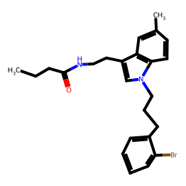 CCCC(=O)NCCc1cn(CCCc2ccccc2Br)c2ccc(C)cc12